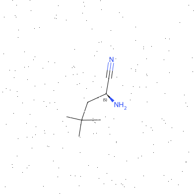 CC(C)(C)C[C@H](N)C#N